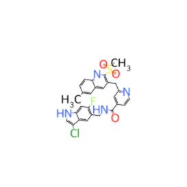 Cc1ccc2nc(S(C)(=O)=O)c(Cc3cc(C(=O)NCc4cc5c(Cl)c[nH]c5cc4F)ccn3)cc2c1